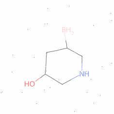 BC1CNCC(O)C1